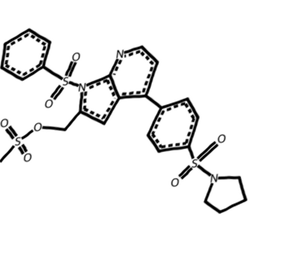 CS(=O)(=O)OCc1cc2c(-c3ccc(S(=O)(=O)N4CCCC4)cc3)ccnc2n1S(=O)(=O)c1ccccc1